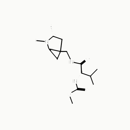 COC(=O)N[C@H](C(=O)NCC12CC1N(I)[C@H](C)C2)C(C)C